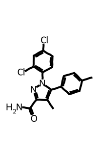 Cc1ccc(-c2c(C)c(C(N)=O)nn2-c2ccc(Cl)cc2Cl)cc1